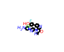 NC1CCN(c2ccc(Nc3c(C(=O)C4CC4)cnc4ccc(-c5cc(F)c(O)c(Cl)c5)cc34)cn2)CC1